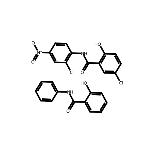 O=C(Nc1ccc([N+](=O)[O-])cc1Cl)c1cc(Cl)ccc1O.O=C(Nc1ccccc1)c1ccccc1O